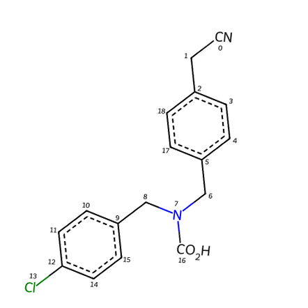 N#CCc1ccc(CN(Cc2ccc(Cl)cc2)C(=O)O)cc1